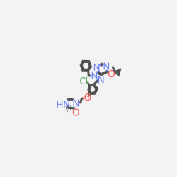 C[C@@H]1NCCN(CCOc2ccc(-c3nc4c(OC5(C)CC5)ncnc4n3Cc3ccccc3)c(Cl)c2)C1=O